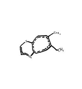 Cc1cc2c(cc1C)SC=C=N2